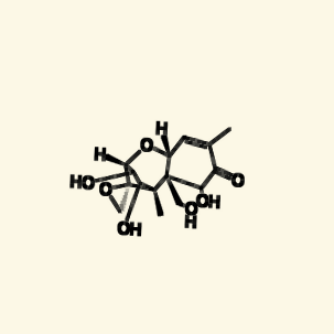 CC1=C[C@H]2O[C@@H]3C(O)C(O)[C@@](C)([C@]34CO4)[C@@]2(CO)C(O)C1=O